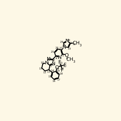 COc1nc(-c2nc3n(n2)CCCC3c2ccccc2OC(F)(F)F)ccc1-n1cnc(C)c1